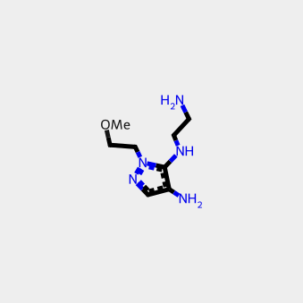 COCCn1ncc(N)c1NCCN